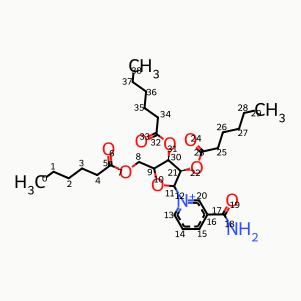 CCCCCC(=O)OCC1OC([n+]2cccc(C(N)=O)c2)[C@H](OC(=O)CCCCC)[C@@H]1OC(=O)CCCCC